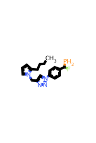 CCCCc1cccn1Cc1cn(-c2ccc(C(F)P)cc2)nn1